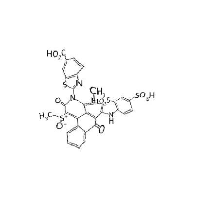 Cc1cc(Nc2ccc(S(=O)(=O)O)cc2S(=O)(=O)O)c2c3c(c([S+](C)[O-])c(=O)n(-c4nc5ccc(C(=O)O)cc5s4)c13)-c1ccccc1C2=O